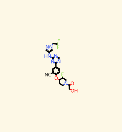 N#Cc1cc(-c2ncnc(Nc3cnn(CC(F)F)c3)n2)ccc1O[C@H]1CCN(C(=O)CO)CC1F